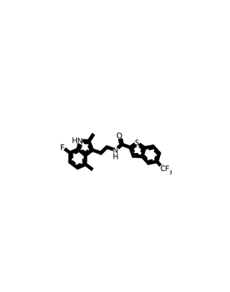 Cc1[nH]c2c(F)ccc(C)c2c1CCNC(=O)c1cc2cc(C(F)(F)F)ccc2s1